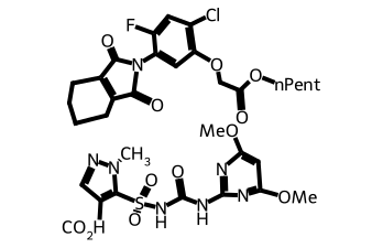 CCCCCOC(=O)COc1cc(N2C(=O)C3=C(CCCC3)C2=O)c(F)cc1Cl.COc1cc(OC)nc(NC(=O)NS(=O)(=O)c2c(C(=O)O)cnn2C)n1